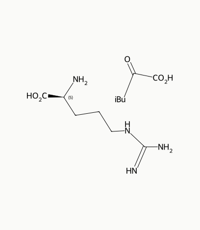 CCC(C)C(=O)C(=O)O.N=C(N)NCCC[C@H](N)C(=O)O